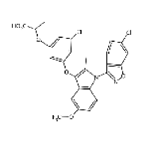 Cc1c(Oc2cc(Cl)cc(O[C@@H](C)C(=O)O)c2)c2cc(OC(F)(F)F)ccc2n1-c1noc2cc(Cl)ccc12